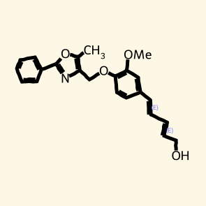 COc1cc(/C=C/C=C/CO)ccc1OCc1nc(-c2ccccc2)oc1C